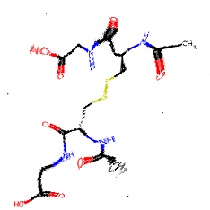 CC(=O)N[C@@H](CSSC[C@H](NC(C)=O)C(=O)NCC(=O)O)C(=O)NCC(=O)O